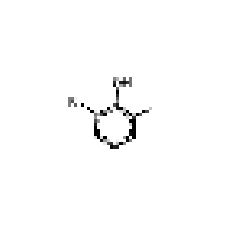 Oc1c(F)cccc1Br